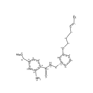 CCC=CCCCOc1cccc(CNC(=O)c2ccc(COC)nc2N)c1